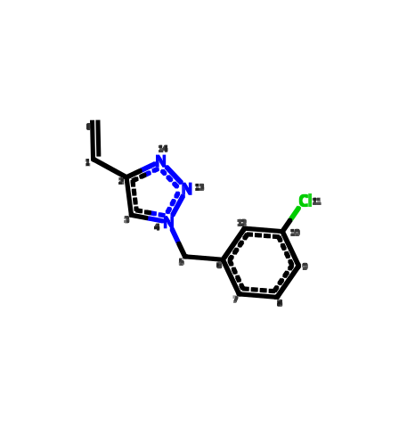 C=Cc1cn(Cc2cccc(Cl)c2)nn1